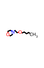 CCCCCOCCN1CCOCC1